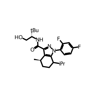 CC(C)C1CC[C@@H](C)c2c(C(=O)N[C@H](CO)C(C)(C)C)nn(-c3ccc(F)cc3F)c21